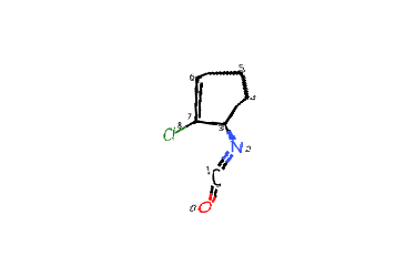 O=C=N[C@@H]1CCC=C1Cl